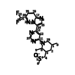 CC1CC(C[S+](C)[O-])C(C)N(c2cc(-c3cnc4ccc(C(F)F)nn34)ncn2)C1